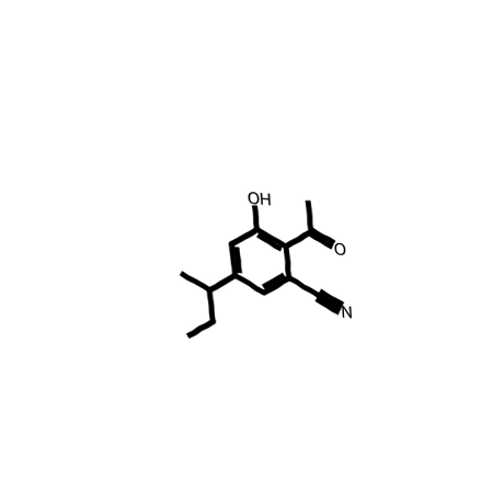 CCC(C)c1cc(O)c(C(C)=O)c(C#N)c1